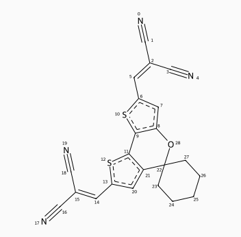 N#CC(C#N)=Cc1cc2c(s1)-c1sc(C=C(C#N)C#N)cc1C1(CCCCC1)O2